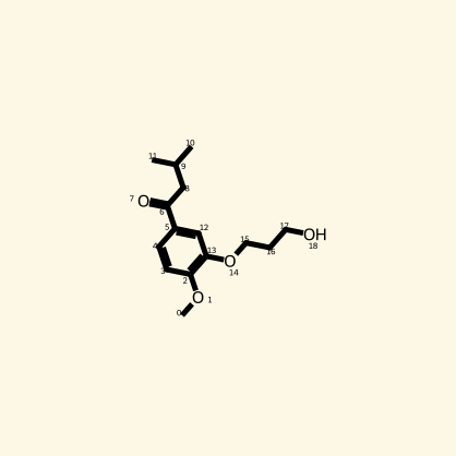 COc1ccc(C(=O)CC(C)C)cc1OCCCO